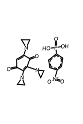 O=C1C=C(N2CC2)C(=O)C(N2CC2)=C1N1CC1.O=[N+]([O-])c1ccc(P(=O)(O)O)cc1